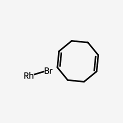 C1=C\CC/C=C\CC/1.[Br][Rh]